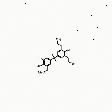 CCc1cc(C(C)(C)c2cc(CCO)c(O)c(CCO)c2)cc(COC)c1O